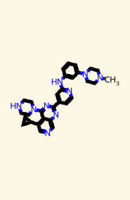 CN1CCN(c2cccc(Nc3cc(-c4nc(N5CCNCC5)c5c(C6CC6)cncc5n4)ccn3)c2)CC1